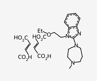 CCOCCn1c(N2CCCN(C)CC2)nc2ccccc21.O=C(O)C=CC(=O)O.O=C(O)C=CC(=O)O